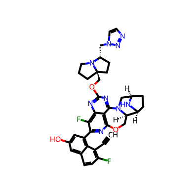 C#Cc1c(F)ccc2cc(O)cc(-c3nc4c5c(nc(OC[C@@]67CCCN6[C@H](Cn6ccnn6)CC7)nc5c3F)N3C[C@H]5CC[C@H](N5)[C@H]3CO4)c12